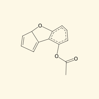 CC(=O)Oc1cccc2c1C1=CC=CC1O2